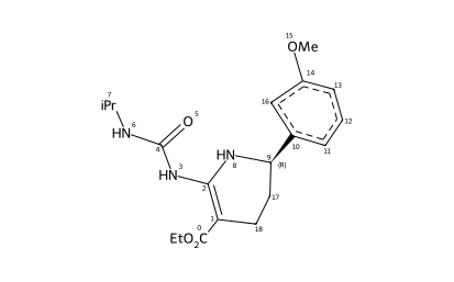 CCOC(=O)C1=C(NC(=O)NC(C)C)N[C@@H](c2cccc(OC)c2)CC1